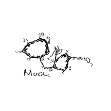 COC.O=[N+]([O-])c1ccc(Cc2ccccc2)c([N+](=O)[O-])c1